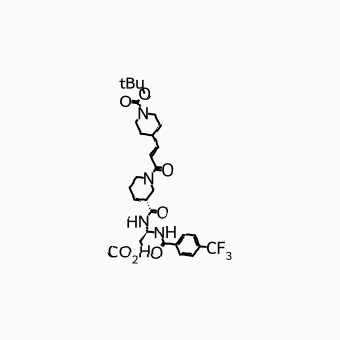 CC(C)(C)OC(=O)N1CCC(/C=C/C(=O)N2CCC[C@@H](C(=O)N[C@H](CC(=O)O)NC(=O)c3ccc(C(F)(F)F)cc3)C2)CC1